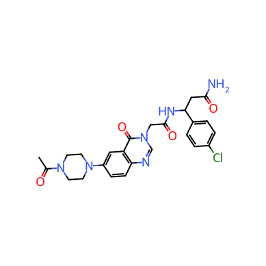 CC(=O)N1CCN(c2ccc3ncn(CC(=O)NC(CC(N)=O)c4ccc(Cl)cc4)c(=O)c3c2)CC1